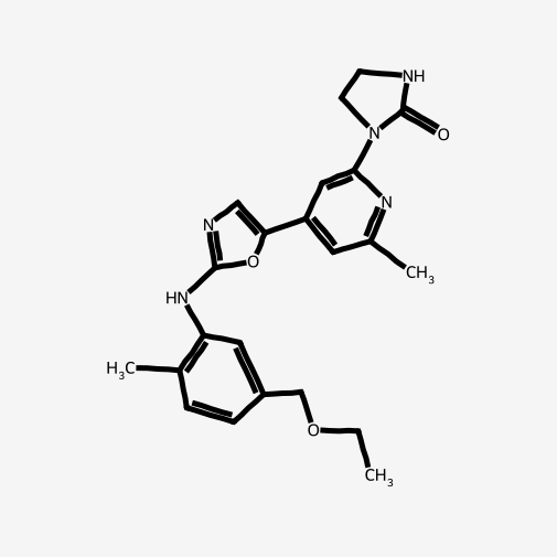 CCOCc1ccc(C)c(Nc2ncc(-c3cc(C)nc(N4CCNC4=O)c3)o2)c1